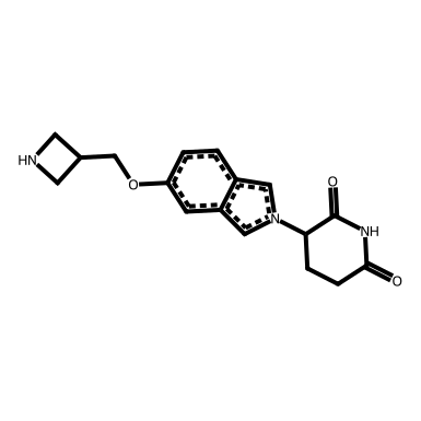 O=C1CCC(n2cc3ccc(OCC4CNC4)cc3c2)C(=O)N1